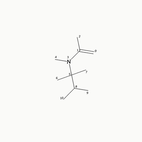 C=C(C)N(C)C(C)(C)C(C)C